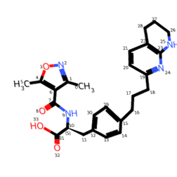 Cc1noc(C)c1C(=O)N[C@@H](Cc1ccc(CCCc2ccc3c(n2)NCCC3)cc1)C(=O)O